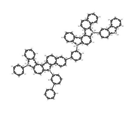 c1ccc(-c2cccc(-n3c4ccc5c(c6ccccc6n5-c5ccccc5)c4c4ccc5cc(-c6cccc(-n7c8ccccc8c8c9c%10ccc%11ccccc%11c%10n(-c%10ccc%11oc%12ccccc%12c%11c%10)c9ccc87)c6)ccc5c43)c2)cc1